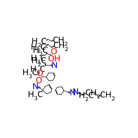 C=C(C)C#N.C=C(C)C(=O)O.C=CC#N.C=CC=C.C=CC=C.C=CC=C.CC1(C#N)CC=CCC1.COC(=O)C1CC=CCC1.N#CC1CC=CCC1